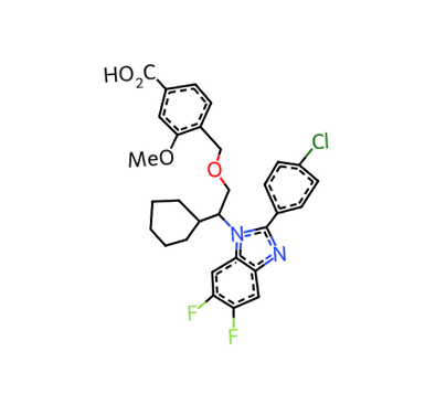 COc1cc(C(=O)O)ccc1COCC(C1CCCCC1)n1c(-c2ccc(Cl)cc2)nc2cc(F)c(F)cc21